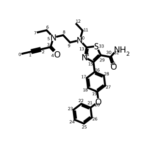 CC#CC(=O)N(CC)CCN(CC)c1nc(-c2ccc(Oc3ccccc3)cc2)c(C(N)=O)s1